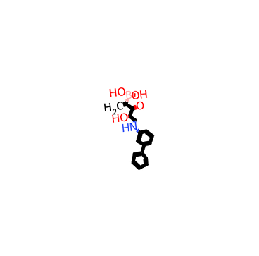 C=C(B(O)O)C(=O)C(O)CNc1cccc(-c2ccccc2)c1